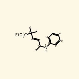 CCOC(=O)C(C)(C)/C=C/C(C)Nc1ccccc1